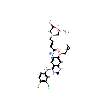 C[C@@H]1CN(C/C=C/C(=O)Nc2cc3c(Nc4ccc(F)c(Cl)c4)ncnc3cc2OCC2CC2)CC(=O)O1